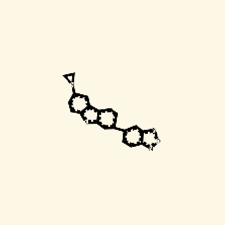 c1cc2nonc2cc1-c1ccc2c(c1)sc1ccc(N3CC3)cc12